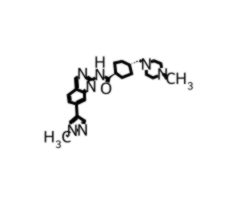 CN1CCN(C[C@H]2CC[C@H](C(=O)Nc3ncc4ccc(-c5cnn(C)c5)cc4n3)CC2)CC1